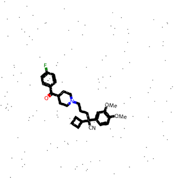 COc1ccc(C(C#N)(CCCN2CCC(C(=O)c3ccc(F)cc3)CC2)C2CCC2)cc1OC